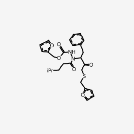 CC(C)CCC(=O)N(NC(=O)OCc1ccco1)C(Cc1ccccc1)C(=O)CSCc1ccco1